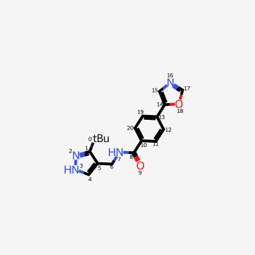 CC(C)(C)c1n[nH]cc1CNC(=O)c1ccc(-c2cnco2)cc1